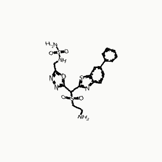 NCCS(=O)(=O)C(c1nnc(CNS(N)(=O)=O)o1)c1nc2ccc(-c3ccccc3)cc2s1